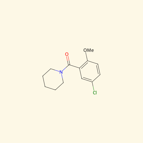 COc1ccc(Cl)cc1C(=O)N1CCCCC1